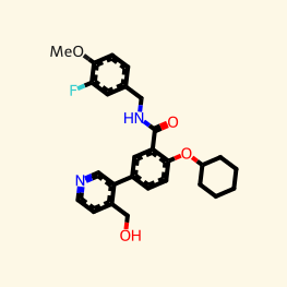 COc1ccc(CNC(=O)c2cc(-c3cnccc3CO)ccc2OC2CCCCC2)cc1F